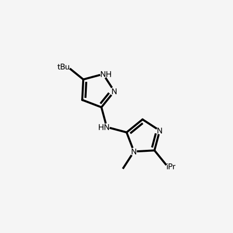 CC(C)c1ncc(Nc2cc(C(C)(C)C)[nH]n2)n1C